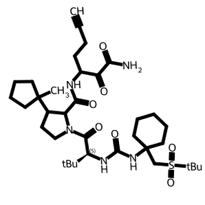 C#CCCC(NC(=O)C1C(C2(C)CCCC2)CCN1C(=O)[C@@H](NC(=O)NC1(CS(=O)(=O)C(C)(C)C)CCCCC1)C(C)(C)C)C(=O)C(N)=O